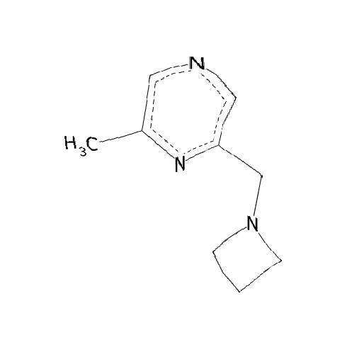 Cc1cncc(CN2CCC2)n1